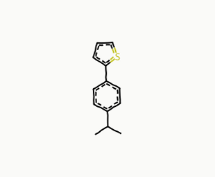 CC(C)c1ccc(-c2cccs2)cc1